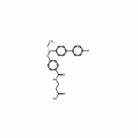 CC[C@@H](Oc1ccc(C(=O)NCCC(=O)O)cc1)c1ccc(-c2ccc(F)cc2)cc1